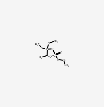 CC[PH](OC)(OC)O[P@](=O)(O)ONC